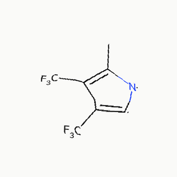 CC1=C(C(F)(F)F)C(C(F)(F)F)=[C][N]1